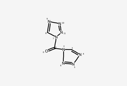 O=C(n1cnnn1)n1cnnn1